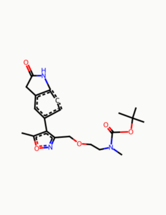 Cc1onc(COCCN(C)C(=O)OC(C)(C)C)c1-c1ccc2c(c1)CC(=O)N2